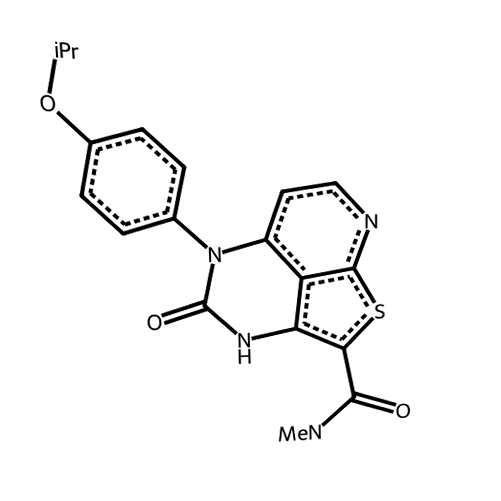 CNC(=O)c1sc2nccc3c2c1NC(=O)N3c1ccc(OC(C)C)cc1